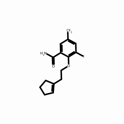 NC(=O)c1cc(C(F)(F)F)cc(I)c1OCCC1=CCCC1